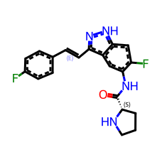 O=C(Nc1cc2c(/C=C/c3ccc(F)cc3)n[nH]c2cc1F)[C@@H]1CCCN1